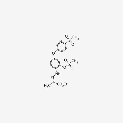 CCOC(=O)/C(C)=N\Nc1ccc(Oc2ccc(S(C)(=O)=O)nc2)cc1OS(C)(=O)=O